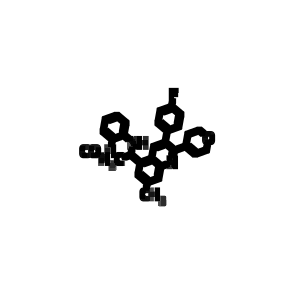 Cc1cc(C(C)Nc2ccccc2C(=O)O)c2cc(-c3ccc(F)cc3)c(C3=CCOCC3)nc2c1